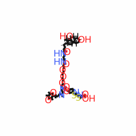 CC1=C(C)C(=O)C(C(C)(C)CCN(C)CCN(CCOCCOCCOCCC(=O)NCCCNC(=O)CC[C@H](C)[C@@H]2CC[C@@H]3[C@@H]4[C@@H](CC[C@]32C)[C@]2(C)CC[C@H](O)C[C@@H]2C[C@@H]4O)C(=O)Oc2ccc3nc(C4=NC(C(=O)O)CS4)sc3c2)=C(C)C1=O